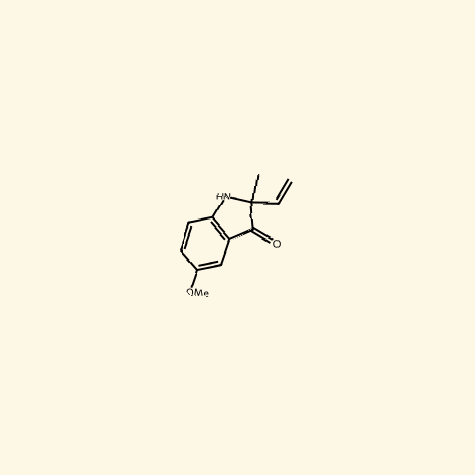 C=CC1(C)Nc2ccc(OC)cc2C1=O